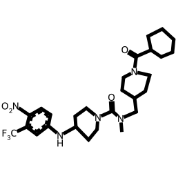 CN(CC1CCN(C(=O)C2CCCCC2)CC1)C(=O)N1CCC(Nc2ccc([N+](=O)[O-])c(C(F)(F)F)c2)CC1